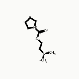 CN(C)CCOC(=O)N1CCCC1